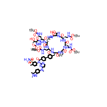 Cc1ccc(N(C(=O)c2ccc(-c3ccc(C[C@H]4NC(=O)C(CCNC(=O)OC(C)(C)C)NC(=O)[C@@H](NC(=O)[C@H](CCNC(=O)OC(C)(C)C)NC(=O)[C@@H](NC(=O)OC(C)(C)C)[C@@H](C)O)CCNC(=O)[C@@H]([C@@H](C)O)NC(=O)[C@H](CCNC(=O)OC(C)(C)C)NC(=O)[C@H](CCNC(=O)OC(C)(C)C)NC(=O)[C@H](CC(C)C)NC4=O)cc3)cc2)c2nccc(N(C)c3ccc4c(C)n(C)nc4c3)n2)cc1S(N)(=O)=O